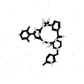 Cc1ccc(CN2CCN3C(=O)c4cccc(c4)S(=O)(=O)Nc4nc(cc(-c5c(C)cccc5C)n4)OC[C@H]3C2)cn1